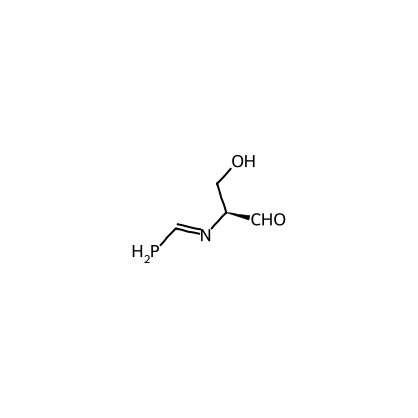 O=C[C@H](CO)/N=C/P